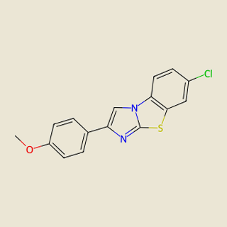 COc1ccc(-c2cn3c(n2)sc2cc(Cl)ccc23)cc1